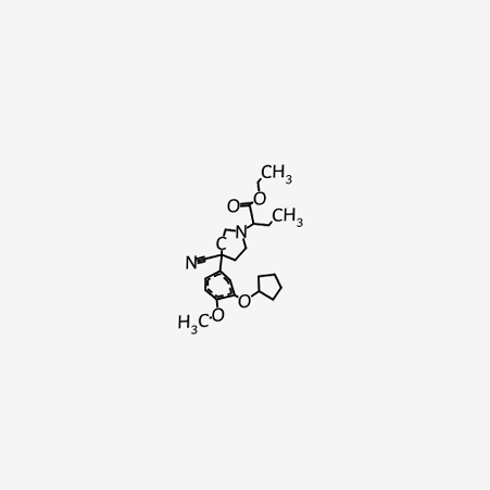 CCOC(=O)C(CC)N1CCC(C#N)(c2ccc(OC)c(OC3CCCC3)c2)CC1